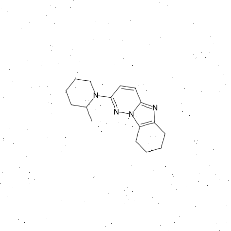 CC1CCCCN1c1ccc2nc3c(n2n1)CCCC3